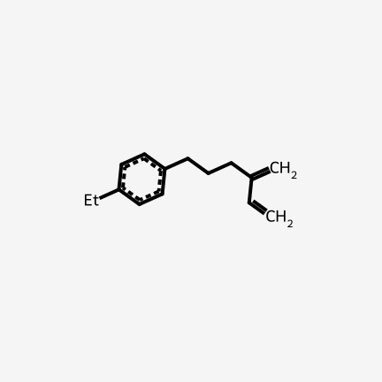 C=CC(=C)CCCc1ccc(CC)cc1